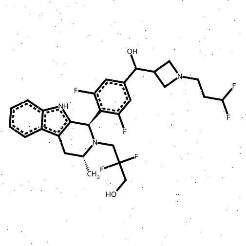 C[C@@H]1Cc2c([nH]c3ccccc23)[C@@H](c2c(F)cc(C(O)C3CN(CCC(F)F)C3)cc2F)N1CC(F)(F)CO